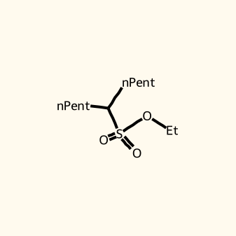 CCCCCC(CCCCC)S(=O)(=O)OCC